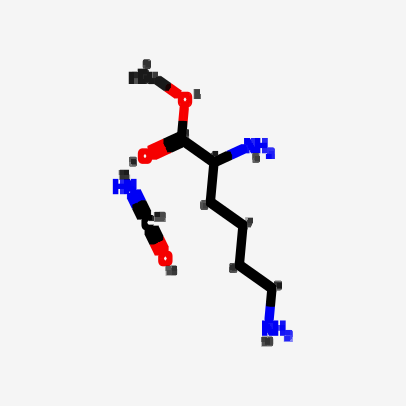 CCCCOC(=O)C(N)CCCCN.N=C=O